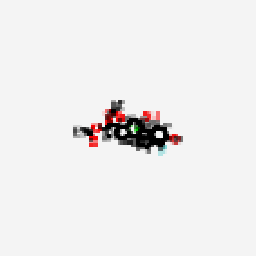 CCC(=O)OCC(=O)[C@@]1(OC(=O)CC)[C@H](C)C[C@H]2[C@@H]3CCC4=C(F)C(=O)C=C[C@]4(C)[C@@]3(Cl)[C@@H](O)C[C@@]21C